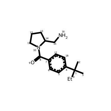 CCC(C)(C)c1ccc(C(=O)N2CCCC2CN)cc1